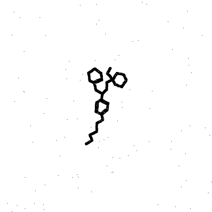 CCCCCCc1ccc(C(CCC2(CC)CCCCC2)CC2=CCCCC2)cc1